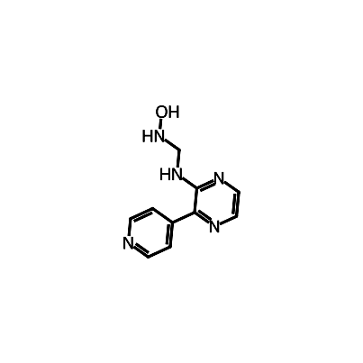 ONCNc1nccnc1-c1ccncc1